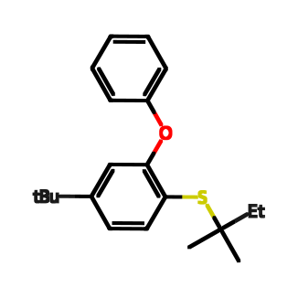 CCC(C)(C)Sc1ccc(C(C)(C)C)cc1Oc1ccccc1